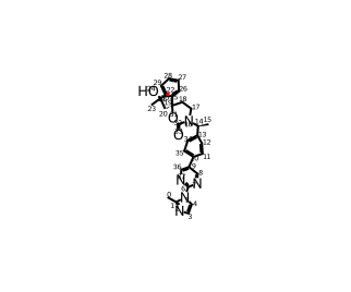 Cc1nccn1-c1ncc(-c2ccc([C@H](C)N3CC[C@](CC(C)(C)O)(c4ccccc4)OC3=O)cc2)cn1